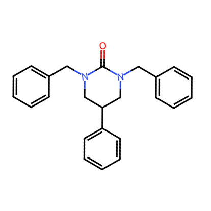 O=C1N(Cc2ccccc2)CC(c2ccccc2)CN1Cc1ccccc1